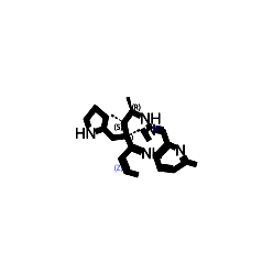 C/C=C\C(=N)[C@@](CC)(CC1CCCN1)[C@H](C)[C@@H](C)N/N=C/c1cccc(C)n1